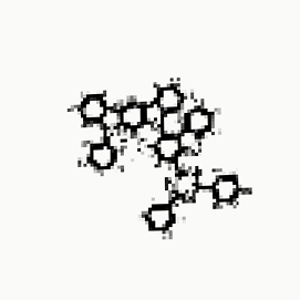 FC(F)(F)c1cc(-c2nc(-c3ccccc3)nc(-c3ccccc3)n2)c2oc3ccccc3c2c1-n1c2ccccc2c2cc3c4ccccc4n(-c4ccccc4)c3cc21